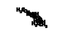 CC1CCC(n2cc(CC(=O)Nc3cc([C@H]4CC[C@@H](OC(=O)NC(C)C)C4)[nH]n3)cn2)CC1